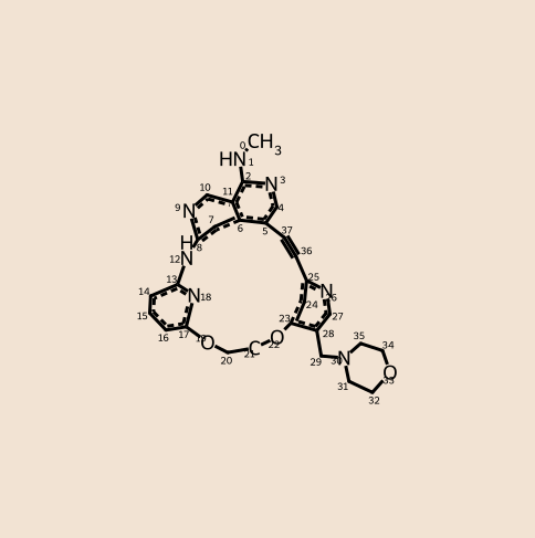 CNc1ncc2c3cc(ncc13)Nc1cccc(n1)OCCOc1cc(ncc1CN1CCOCC1)C#C2